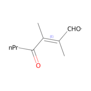 CCCC(=O)/C(C)=C(\C)[C]=O